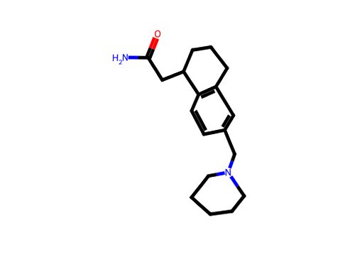 NC(=O)CC1CCCc2cc(CN3CCCCC3)ccc21